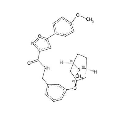 COc1ccc(-c2cc(C(=O)NCc3cccc(O[C@H]4C[C@H]5CC[C@@H](C4)N5C)c3)no2)cc1